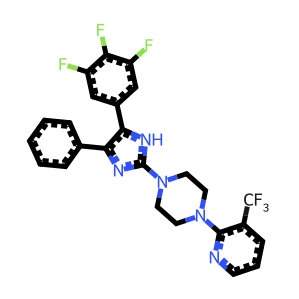 Fc1cc(-c2[nH]c(N3CCN(c4ncccc4C(F)(F)F)CC3)nc2-c2ccccc2)cc(F)c1F